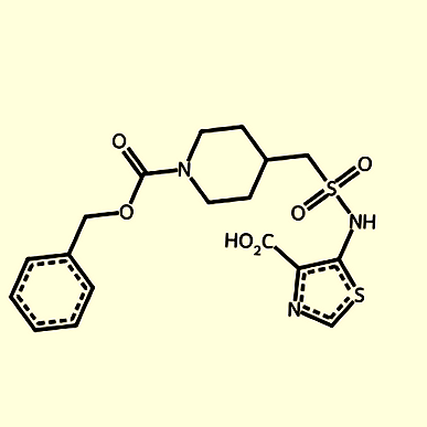 O=C(O)c1ncsc1NS(=O)(=O)CC1CCN(C(=O)OCc2ccccc2)CC1